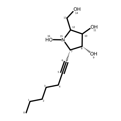 CCCCCC#C[C@H]1[C@@H](O)C(O)C(CO)N1O